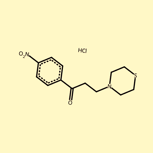 Cl.O=C(CCN1CCSCC1)c1ccc([N+](=O)[O-])cc1